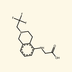 O=C(O)CNc1cccc2c1CCN(CC(F)(F)F)C2